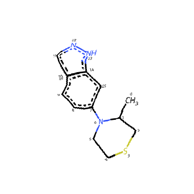 CC1[CH]SCCN1c1ccc2cn[nH]c2c1